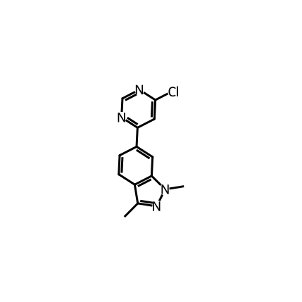 Cc1nn(C)c2cc(-c3cc(Cl)ncn3)ccc12